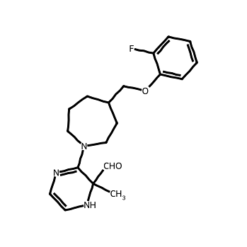 CC1(C=O)NC=CN=C1N1CCCC(COc2ccccc2F)CC1